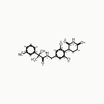 CC(C)(C(=O)NCc1cc(Cl)c(C2CCC(=O)NC2=O)c(Cl)c1)c1cccc(C#N)c1